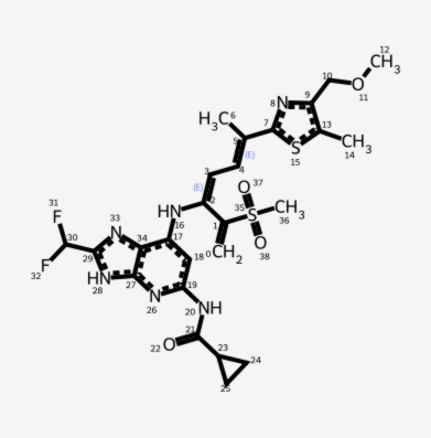 C=C(/C(=C\C=C(/C)c1nc(COC)c(C)s1)Nc1cc(NC(=O)C2CC2)nc2[nH]c(C(F)F)nc12)S(C)(=O)=O